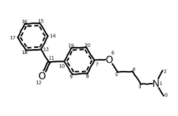 CN(C)CCCOc1ccc(C(=O)c2ccccc2)cc1